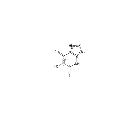 O=C1c2[nH]cnc2NC(=S)[NH+]1[O-]